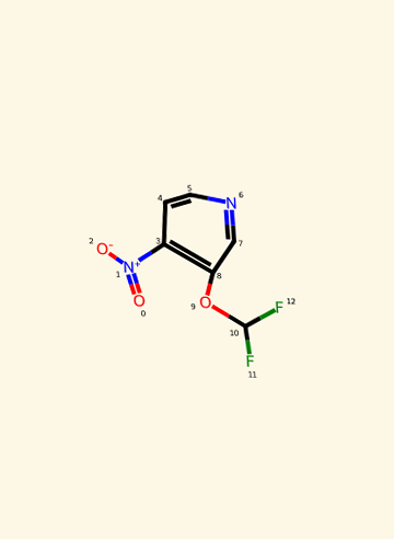 O=[N+]([O-])c1ccncc1OC(F)F